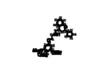 COc1cc(OCCNCC2CC(C3CCCC3)Oc3ccccc32)cc(OC)c1OC